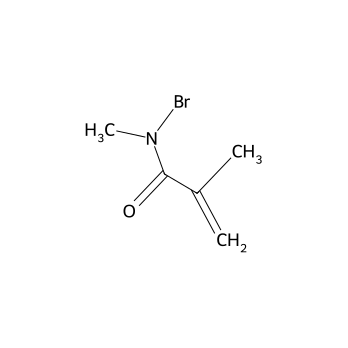 C=C(C)C(=O)N(C)Br